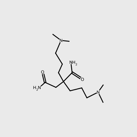 CN(C)CCCC(CCCN(C)C)(CC(N)=O)C(N)=O